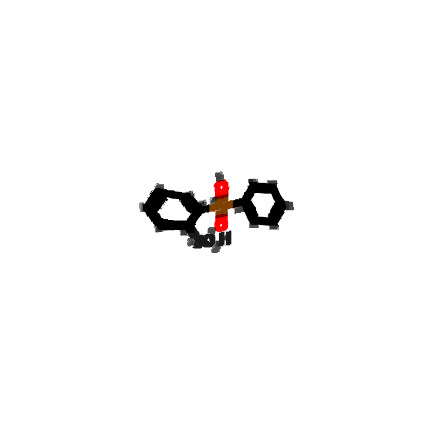 O=S(=O)(O)c1ccccc1S(=O)(=O)c1ccccc1